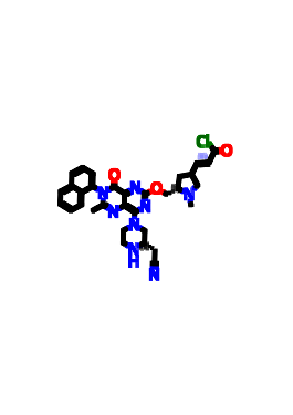 Cc1nc2c(N3CCN[C@@H](CC#N)C3)nc(OC[C@@H]3CC(/C=C/C(=O)Cl)CN3C)nc2c(=O)n1-c1cccc2ccccc12